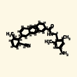 Cc1cc(N)nc(C)c1CNC(=O)c1ccc2c(c1)c1oc2c2ccc(-c3c(C)cccc3C#N)cc21